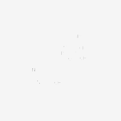 Cc1ncnc2ccc(B3OC(C(C)C)C(C)(C)O3)cc12